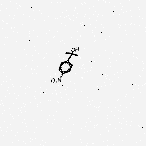 CC(C)(O)c1ccc([N+](=O)[O-])cc1